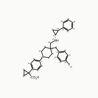 O=C(O)C1(c2ccc(N3CCC(CN[C@@H]4CC4c4ccccc4)(Cc4ccc(F)cc4)CC3)cc2)CC1